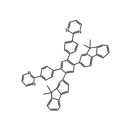 CC1(C)c2ccccc2-c2ccc(-c3cc(-c4ccc5c(c4)C(C)(C)c4ccccc4-5)c(-c4ccc(-c5ncccn5)cc4)cc3-c3ccc(-c4ncccn4)cc3)cc21